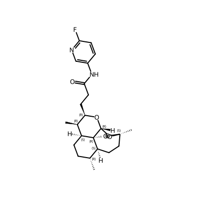 C[C@H]1[C@@H](CCC(=O)Nc2ccc(F)nc2)O[C@@H]2O[C@]3(C)CC[C@H]4[C@H](C)CC[C@@H]1[C@@]24OO3